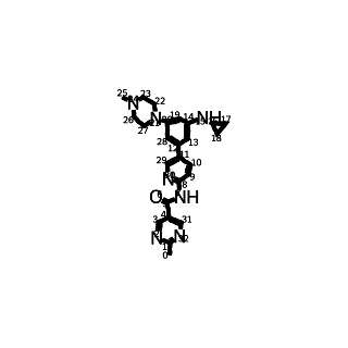 Cc1ncc(C(=O)Nc2ccc(-c3cc(NC4CC4)cc(N4CCN(C)CC4)c3)cn2)cn1